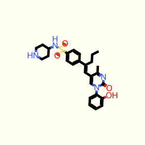 CCC/C(=C\c1cn(-c2ccccc2O)c(=O)nc1C)c1ccc(S(=O)(=O)NC2CCNCC2)cc1